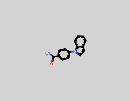 NC(=O)c1ccc(-n2ccc3cc[c]cc32)cc1